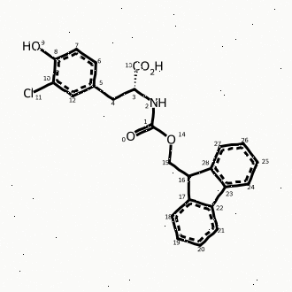 O=C(N[C@H](Cc1ccc(O)c(Cl)c1)C(=O)O)OCC1c2ccccc2-c2ccccc21